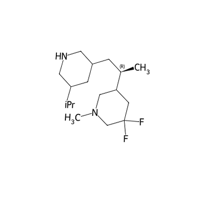 CC(C)C1CNCC(C[C@@H](C)C2CN(C)CC(F)(F)C2)C1